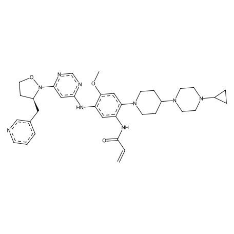 C=CC(=O)Nc1cc(Nc2cc(N3OCC[C@@H]3Cc3cccnc3)ncn2)c(OC)cc1N1CCC(N2CCN(C3CC3)CC2)CC1